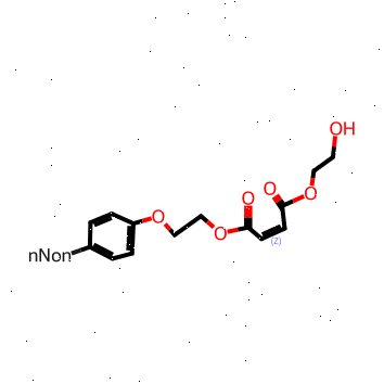 CCCCCCCCCc1ccc(OCCOC(=O)/C=C\C(=O)OCCO)cc1